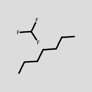 CCCCCCC.FC(F)F